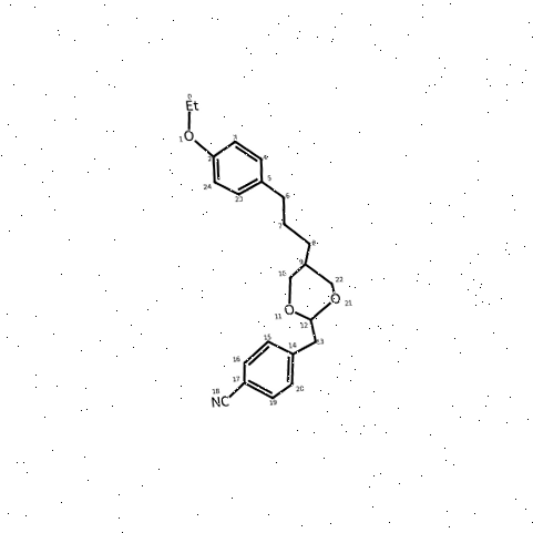 CCOc1ccc(CCCC2COC(Cc3ccc(C#N)cc3)OC2)cc1